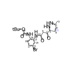 CC(=N)/C=C\C(=N)C(=O)CC(=O)Nc1cc(Br)ccc1NC(=O)OC(C)(C)C